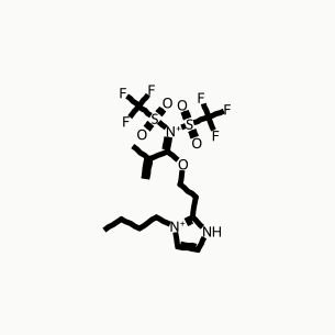 C=C(C)C(OCCc1[nH]cc[n+]1CCCC)=[N+](S(=O)(=O)C(F)(F)F)S(=O)(=O)C(F)(F)F